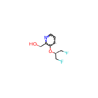 OCc1ncc[c]c1OC(CF)CF